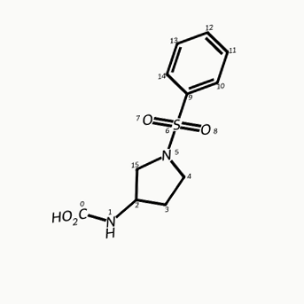 O=C(O)NC1CCN(S(=O)(=O)c2ccccc2)C1